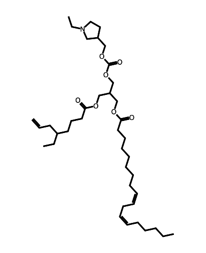 C=CCC(CC)CCCC(=O)OCC(COC(=O)CCCCCCC/C=C\C/C=C\CCCCC)COC(=O)OCC1CCN(CC)C1